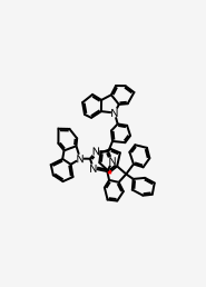 c1ccc(C(c2ccccc2)(c2ccccc2)c2ccccc2-c2nc(-c3cccc(-n4c5ccccc5c5ccccc54)c3)nc(-n3c4ccccc4c4ccccc43)n2)cc1